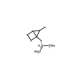 CC1C2CCC12C.CO[SiH2]OC